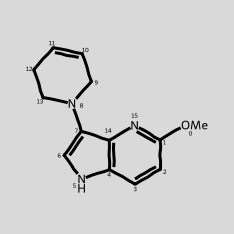 COc1ccc2[nH]cc(N3CC=CCC3)c2n1